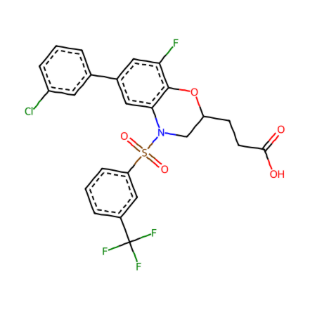 O=C(O)CCC1CN(S(=O)(=O)c2cccc(C(F)(F)F)c2)c2cc(-c3cccc(Cl)c3)cc(F)c2O1